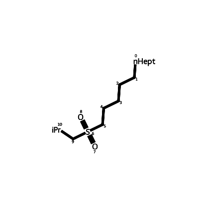 CCCCCCCCCCCCS(=O)(=O)[CH]C(C)C